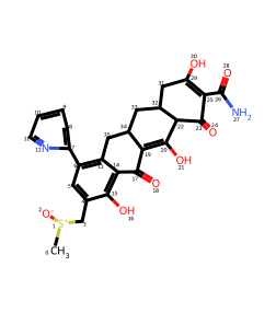 C[S+]([O-])Cc1cc(-c2ccccn2)c2c(c1O)C(=O)C1=C(O)C3C(=O)C(C(N)=O)=C(O)CC3CC1C2